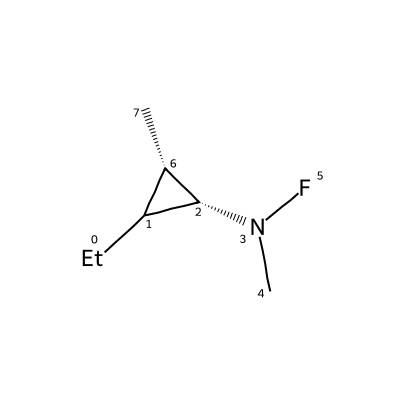 CCC1[C@@H](N(C)F)[C@H]1C